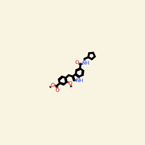 COC(=O)c1ccc(Cc2c[nH]c3ccc(C(=O)NCC4CCCC4)cc23)c(OC)c1